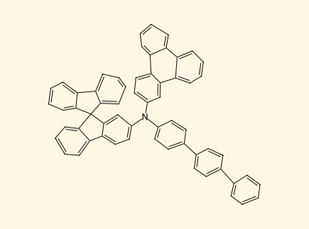 c1ccc(-c2ccc(-c3ccc(N(c4ccc5c(c4)C4(c6ccccc6-c6ccccc64)c4ccccc4-5)c4ccc5c6ccccc6c6ccccc6c5c4)cc3)cc2)cc1